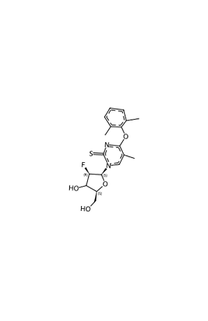 Cc1cn([C@H]2O[C@@H](CO)C(O)[C@H]2F)c(=S)nc1Oc1c(C)cccc1C